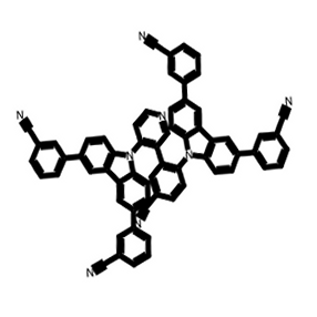 N#Cc1cccc(-c2ccc3c(c2)c2cc(-c4cccc(C#N)c4)ccc2n3-c2ccncc2-c2cc(C#N)ccc2-n2c3ccc(-c4cccc(C#N)c4)cc3c3cc(-c4cccc(C#N)c4)ccc32)c1